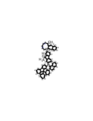 C=C1/C=C\C=C/CN(c2ccc3c(c2)C(C)(C)c2cc(N(c4ccc5c(c4)C(c4ccccc4)(c4ccccc4)c4ccccc4-5)c4cccc5ccccc45)ccc2-3)c2cc3ccccc3cc21